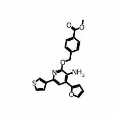 COC(=O)c1ccc(COc2nc(-c3ccsc3)cc(-c3ccco3)c2N)cc1